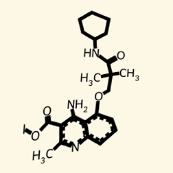 Cc1nc2cccc(OCC(C)(C)C(=O)NC3CCCCC3)c2c(N)c1C(=O)OI